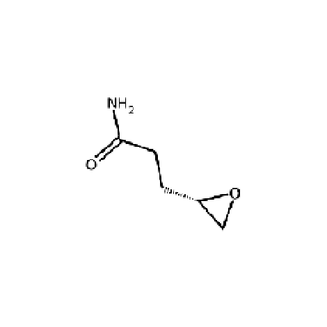 NC(=O)CC[C@H]1CO1